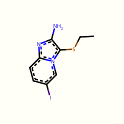 CCSc1c(N)nc2ccc(I)cn12